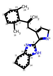 C=C(CC1=CCN=C1c1nc2ccccc2[nH]1)c1c(C)cccc1C